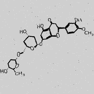 COc1ccc(C2CC(=O)c3c(O)cc(O[C@H]4C[C@@H](O)C[C@@H](CO[C@H]5CC[C@@H](O)[C@H](C)O5)O4)cc3O2)cc1O